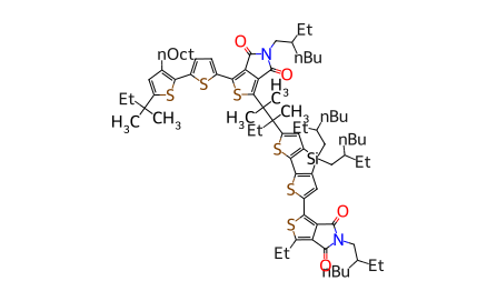 CCCCCCCCc1cc(C(C)(C)CC)sc1-c1ccc(-c2sc(C(C)(C)C(C)(CC)c3cc4c(s3)-c3sc(-c5sc(CC)c6c5C(=O)N(CC(CC)CCCC)C6=O)cc3[Si]4(CC(CC)CCCC)CC(CC)CCCC)c3c2C(=O)N(CC(CC)CCCC)C3=O)s1